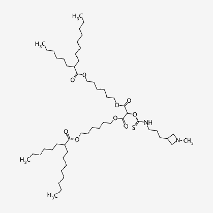 CCCCCCCCC(CCCCCC)C(=O)OCCCCCCOC(=O)C(OC(=S)NCCCC1CN(C)C1)C(=O)OCCCCCCOC(=O)C(CCCCCC)CCCCCCCC